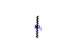 CCCCCCCCCCCCCCCCCCC.NN